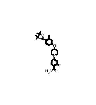 Cc1cc(OC2CCN(c3ccc(C(N)=O)c(F)c3)CC2)ccc1B1OC(C)(C)C(C)(C)O1